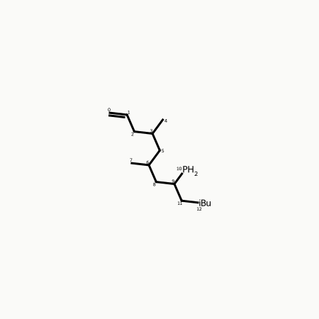 C=CCC(C)CC(C)CC(P)CC(C)CC